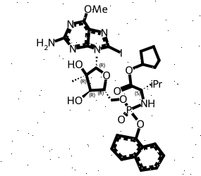 COc1nc(N)nc2c1nc(I)n2[C@@H]1O[C@H](COP(=O)(N[C@H](C(=O)OC2CCCC2)C(C)C)Oc2cccc3ccccc23)[C@@H](O)[C@@]1(C)O